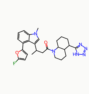 CC(CC(=O)N1CCCC2C(c3nnn[nH]3)CCCC21)c1cn(C)c2cccc(-c3ccc(F)o3)c12